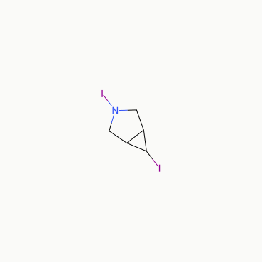 IC1C2CN(I)CC12